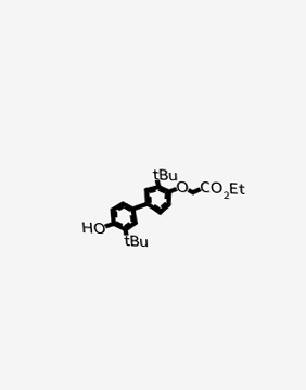 CCOC(=O)COc1ccc(-c2ccc(O)c(C(C)(C)C)c2)cc1C(C)(C)C